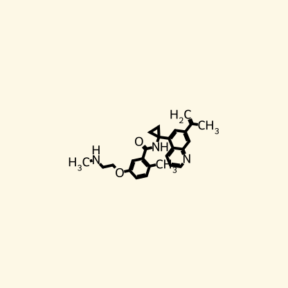 C=C(C)c1cc(C2(NC(=O)c3cc(OCCNC)ccc3C)CC2)c2cccnc2c1